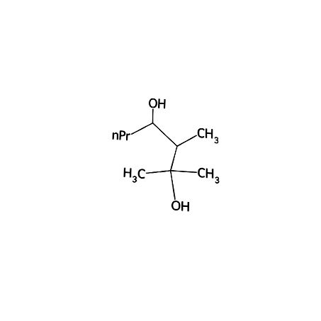 CCCC(O)C(C)C(C)(C)O